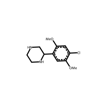 COc1cc(C2CNCCN2)c(OC)cc1Cl